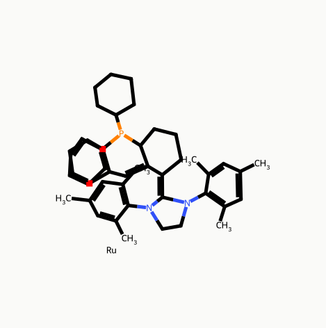 Cc1cc(C)c(N2CCN(c3c(C)cc(C)cc3C)C2=C2CCCC(P(C3CCCCC3)C3CCCCC3)C2=Cc2ccccc2)c(C)c1.[Ru]